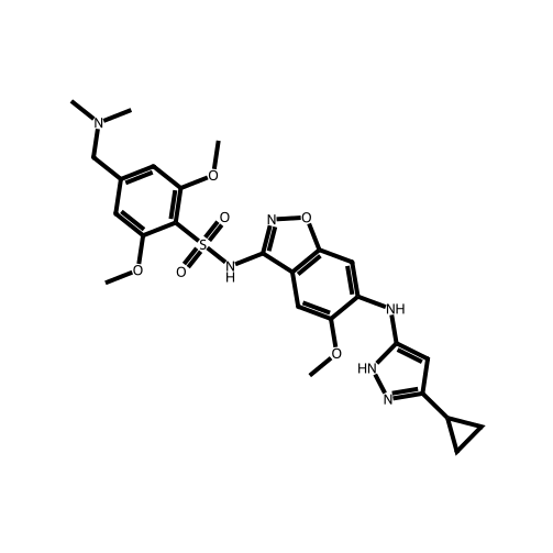 COc1cc2c(NS(=O)(=O)c3c(OC)cc(CN(C)C)cc3OC)noc2cc1Nc1cc(C2CC2)n[nH]1